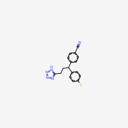 N#Cc1ccc(C(CCc2nnn[nH]2)c2ccc(F)cc2)cc1